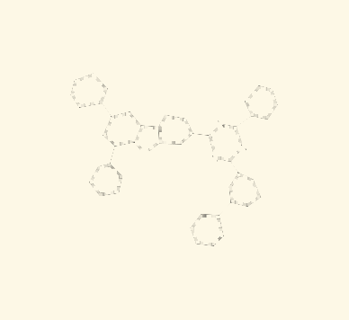 c1ccc(-c2cccc(-c3nc(-c4ccccc4)nc(-c4ccc5c(c4)oc4c(-c6ccccc6)cc(-c6ccccc6)cc45)n3)c2)cc1